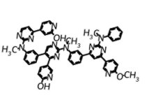 COc1ccc(-c2cc(-c3cccc(N(C)c4ncc(-c5cccc(N(C)c6nccc(-c7ccnc(O)c7)n6)c5)c(-c5ccc(O)nc5)n4)c3)nc(N(C)c3ccccc3)n2)cn1